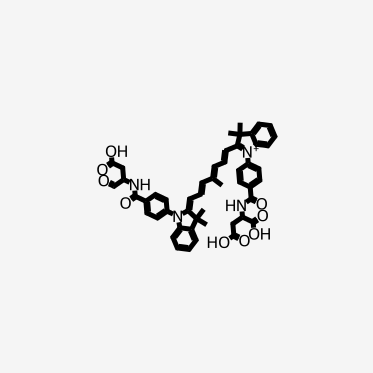 CC(/C=C/C=C1/N(c2ccc(C(=O)NC(C=O)CC(=O)O)cc2)c2ccccc2C1(C)C)=C\C=C\C1=[N+](c2ccc(C(=O)NC(CC(=O)O)C(=O)O)cc2)c2ccccc2C1(C)C